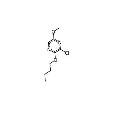 CCCCOc1ncc(OC)nc1Cl